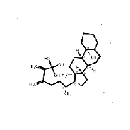 C=C(CC[C@@H](C)[C@H]1CC[C@H]2[C@@H]3CCC4CCCC[C@]4(C)[C@H]3CC[C@]12C)C(=C)C(O)(O)O